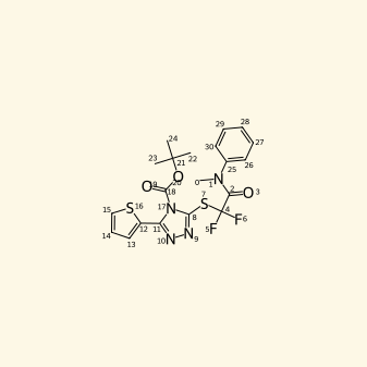 CN(C(=O)C(F)(F)Sc1nnc(-c2cccs2)n1C(=O)OC(C)(C)C)c1ccccc1